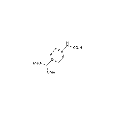 COC(OC)c1ccc(NC(=O)O)cc1